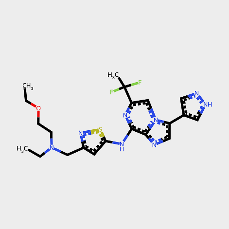 CCOCCN(CC)Cc1cc(Nc2nc(C(C)(F)F)cn3c(-c4cn[nH]c4)cnc23)sn1